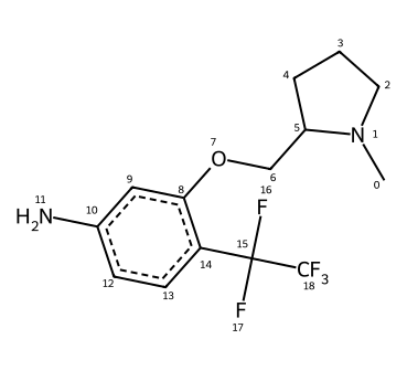 CN1CCCC1COc1cc(N)ccc1C(F)(F)C(F)(F)F